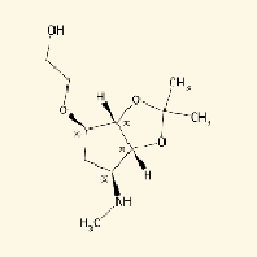 CN[C@H]1C[C@@H](OCCO)[C@@H]2OC(C)(C)O[C@@H]21